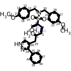 C=C(/C=C\C(=C/C)S(=O)(=O)N(Cc1ccc(OC)cc1)Cc1ccc(OC)cc1)Cc1c[nH]nc1-c1ccccc1